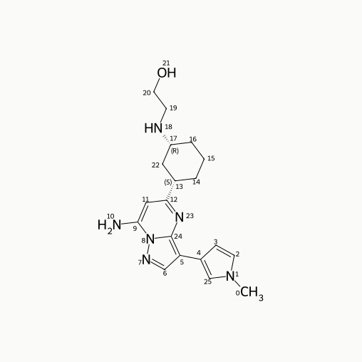 Cn1ccc(-c2cnn3c(N)cc([C@H]4CCC[C@@H](NCCO)C4)nc23)c1